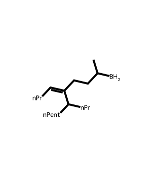 BC(C)CCC(=CCCC)C(CCC)CCCCC